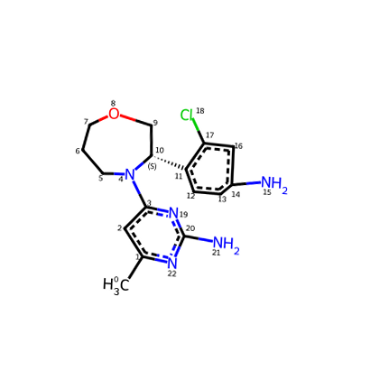 Cc1cc(N2CCCOC[C@@H]2c2ccc(N)cc2Cl)nc(N)n1